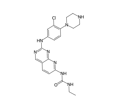 CCNC(=O)Nc1ccc2cnc(Nc3ccc(N4CCNCC4)c(Cl)c3)nc2n1